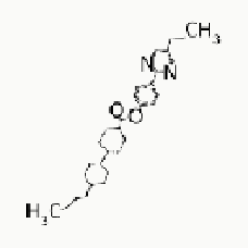 CCCC[C@H]1CC[C@H]([C@H]2CC[C@H](C(=O)Oc3ccc(-c4ncc(CCC)cn4)cc3)CC2)CC1